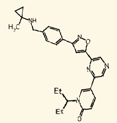 CCC(CC)n1cc(-c2cncc(-c3cc(-c4ccc(CNC5(C)CC5)cc4)no3)n2)ccc1=O